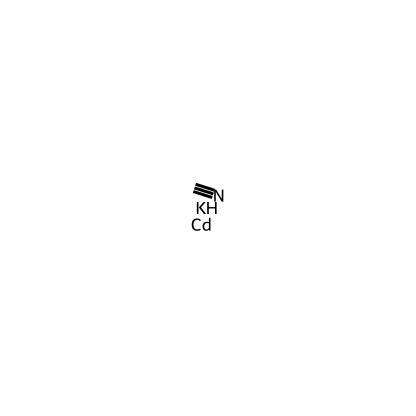 C#N.[Cd].[KH]